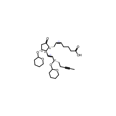 CC#CCC[C@@H](/C=C/[C@H]1[C@H](OC2CCCCO2)CC(=O)[C@@H]1C/C=C\CCCC(=O)O)OC1CCCCO1